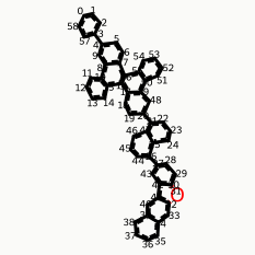 c1ccc(-c2ccc3c(c2)c2ccccc2c2c4ccc(-c5cccc6c(-c7ccc8oc9cc%10ccccc%10cc9c8c7)cccc56)cc4c4ccccc4c32)cc1